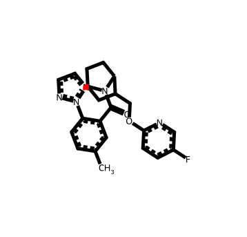 Cc1ccc(-n2nccn2)c(C(=O)N2C3CCC2C(COc2ccc(F)cn2)C3)c1